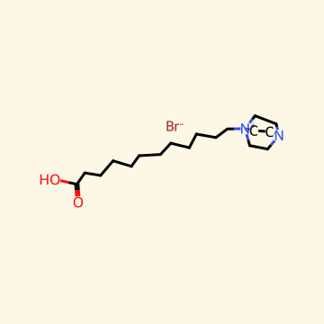 O=C(O)CCCCCCCCCCC[N+]12CCN(CC1)CC2.[Br-]